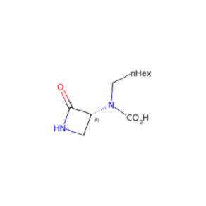 CCCCCCCN(C(=O)O)[C@@H]1CNC1=O